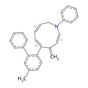 C=C1/C=C\N(c2ccccc2)C/C=C\C=C/1c1ccc(C)cc1-c1ccccc1